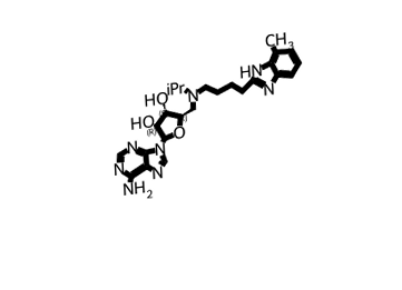 Cc1cccc2nc(CCCCN(C[C@H]3OC(n4cnc5c(N)ncnc54)[C@H](O)[C@@H]3O)C(C)C)[nH]c12